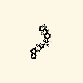 CN1CC[C@@H](Oc2cc(NS(=O)(=O)c3cc(Br)c(Sc4ccc5ccccc5c4)s3)ccc2C(F)(F)F)C1